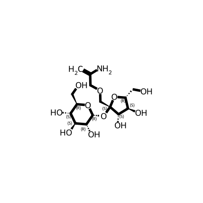 C=C(N)COC[C@@]1(O[C@H]2O[C@H](CO)[C@@H](O)[C@H](O)[C@H]2O)O[C@H](CO)[C@@H](O)[C@@H]1O